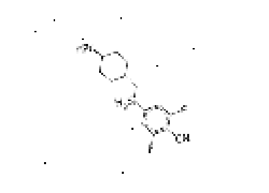 CCC[C@H]1CC[C@H](C[SiH2]c2cc(F)c(C#N)c(F)c2)CC1